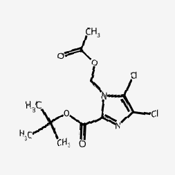 CC(=O)OCn1c(C(=O)OC(C)(C)C)nc(Cl)c1Cl